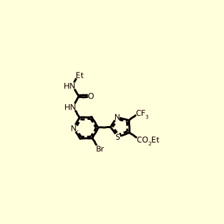 CCNC(=O)Nc1cc(-c2nc(C(F)(F)F)c(C(=O)OCC)s2)c(Br)cn1